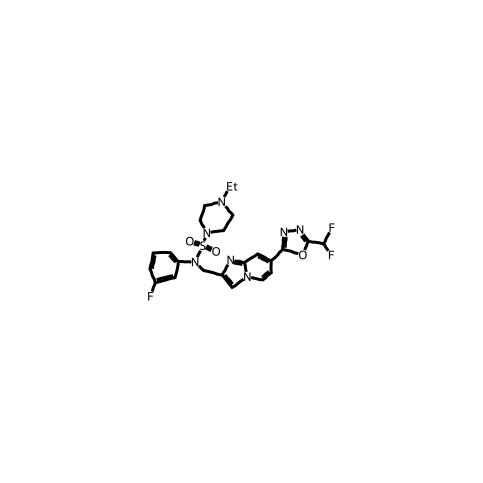 CCN1CCN(S(=O)(=O)N(Cc2cn3ccc(-c4nnc(C(F)F)o4)cc3n2)c2cccc(F)c2)CC1